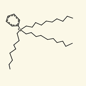 CCCCCCCCCC[Si](CCCCCCCC)(CCCCCCCCCC)c1ccccc1